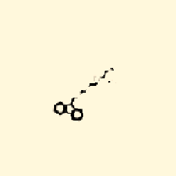 COC(=O)[C@H](CS)NC(=O)CNC(=O)OCC1c2ccccc2-c2ccccc21